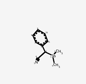 [CH3][Sb]([CH3])[CH](C#N)c1ccccc1